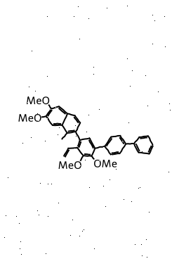 C=Cc1c(-c2ccc3cc(OC)c(OC)cc3c2C)cc(-c2ccc(-c3ccccc3)cc2)c(OC)c1OC